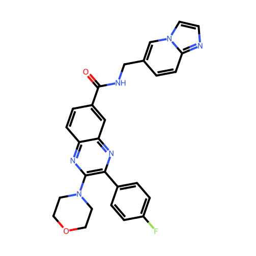 O=C(NCc1ccc2nccn2c1)c1ccc2nc(N3CCOCC3)c(-c3ccc(F)cc3)nc2c1